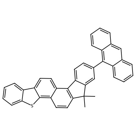 CC1(C)c2cc(-c3c4ccccc4cc4ccccc34)ccc2-c2c1ccc1c2ccc2c3ccccc3sc12